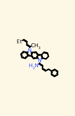 CC/C=C\C=C(/C)n1c2ccccc2c2cc3c(cc21)c1c(n3/C(N)=C/C=C\Cc2ccccc2)CCC=C1